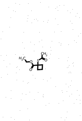 CCOC(=O)C1(SC(C)=O)CCC1